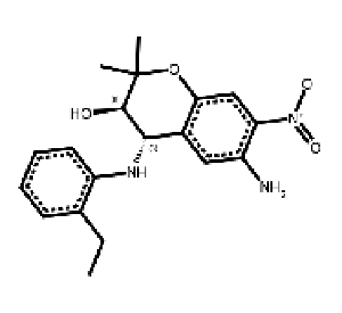 CCc1ccccc1N[C@H]1c2cc(N)c([N+](=O)[O-])cc2OC(C)(C)[C@@H]1O